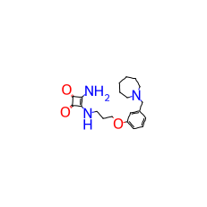 Nc1c(NCCCOc2cccc(CN3CCCCCC3)c2)c(=O)c1=O